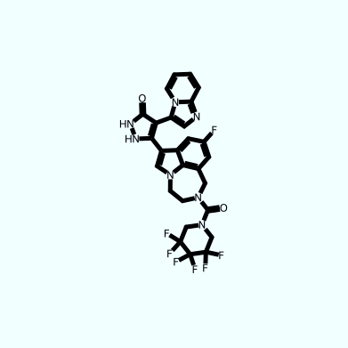 O=C(N1CCn2cc(-c3[nH][nH]c(=O)c3-c3cnc4ccccn34)c3cc(F)cc(c32)C1)N1CC(F)(F)C(F)(F)C(F)(F)C1